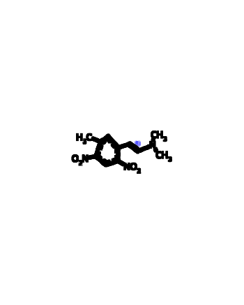 Cc1cc(/C=C/N(C)C)c([N+](=O)[O-])cc1[N+](=O)[O-]